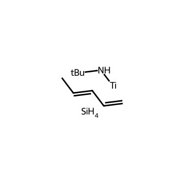 C=CC=CC.CC(C)(C)[NH][Ti].[SiH4]